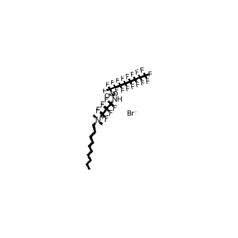 CCCCCCCCCC[N+](C)(C)C(F)(F)C(F)(F)C(F)(F)NS(=O)(=O)C(F)(F)C(F)(F)C(F)(F)C(F)(F)C(F)(F)C(F)(F)C(F)(F)C(F)(F)F.[Br-]